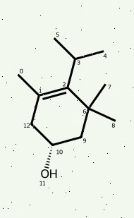 CC1=C(C(C)C)C(C)(C)C[C@H](O)C1